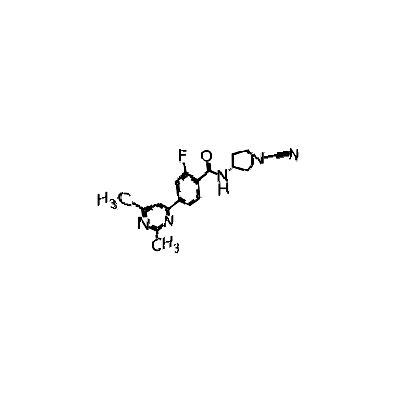 Cc1cc(-c2ccc(C(=O)N[C@@H]3CCN(C#N)C3)c(F)c2)nc(C)n1